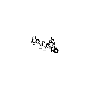 C=C(C)OC(=O)N1C[C@H](NC(=O)Nc2ccc(Cl)c(C(F)(F)F)c2)C[C@H]1c1nc2ccccc2[nH]1